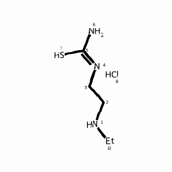 CCNCCN=C(N)S.Cl